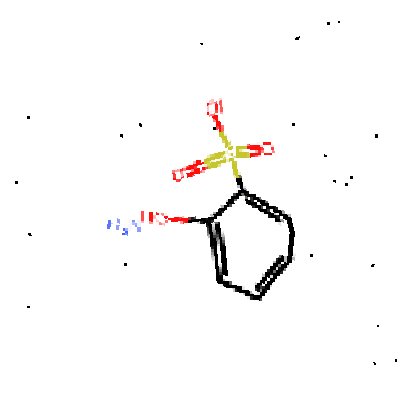 N.O=S(=O)(O)c1ccccc1O